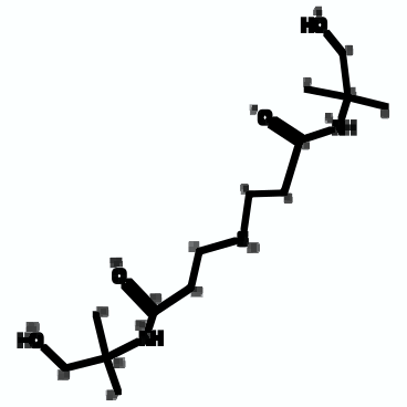 CC(C)(CO)NC(=O)CCSCCC(=O)NC(C)(C)CO